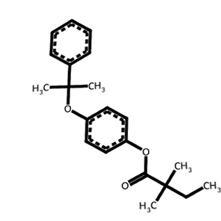 CCC(C)(C)C(=O)Oc1ccc(OC(C)(C)c2ccccc2)cc1